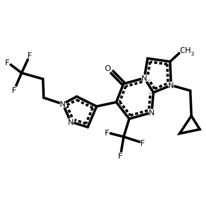 Cc1cn2c(=O)c(-c3cnn(CCC(F)(F)F)c3)c(C(F)(F)F)nc2n1CC1CC1